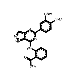 COc1ccc(-c2nc(Nc3ccccc3C(N)=O)c3[nH]ncc3n2)cc1OC